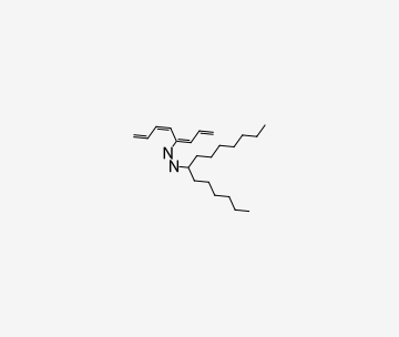 C=C\C=C/C(=C\C=C)/N=N\C(CCCCCC)CCCCCCC